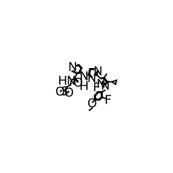 CCOc1cc(F)c(Cn2nc(-c3nccc(Nc4ccncc4C(=O)NCCS(C)(=O)=O)n3)c(C)c2C2CC2)c(F)c1